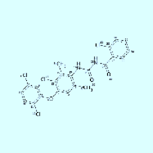 Cc1cc(Oc2cc(Cl)ccc2Cl)c(Cl)c(C)c1NC(=O)NC(=O)c1ccccc1Cl